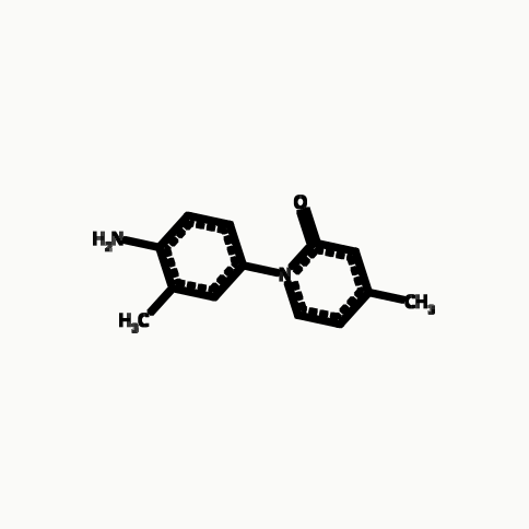 Cc1ccn(-c2ccc(N)c(C)c2)c(=O)c1